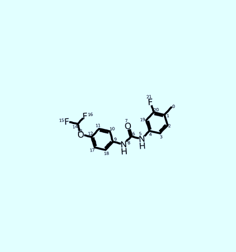 Cc1ccc(NC(=O)Nc2ccc(OC(F)F)cc2)cc1F